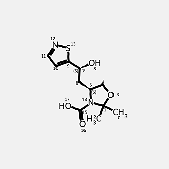 CC1(C)OC[C@H](C[C@H](O)c2ccns2)N1C(=O)O